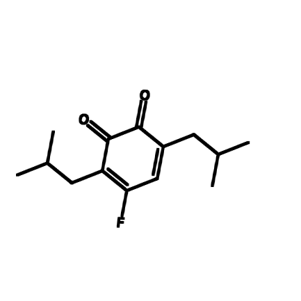 CC(C)CC1=CC(F)=C(CC(C)C)C(=O)C1=O